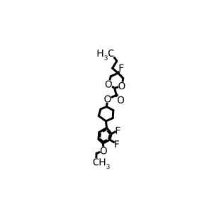 CCCC1(F)COC(C(=O)OC2CCC(c3ccc(OCC)c(F)c3F)CC2)OC1